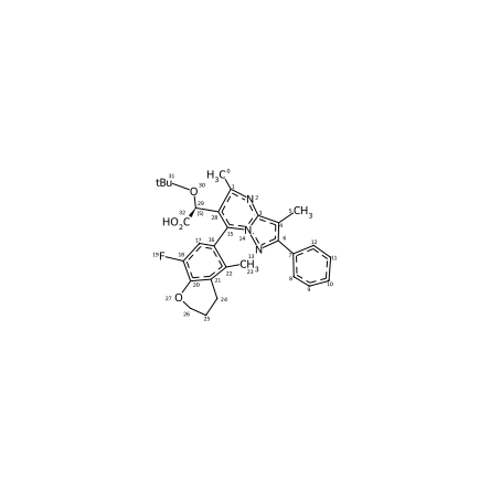 Cc1nc2c(C)c(-c3ccccc3)nn2c(-c2cc(F)c3c(c2C)CCCO3)c1[C@H](OC(C)(C)C)C(=O)O